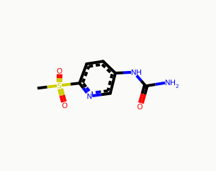 CS(=O)(=O)c1ccc(NC(N)=O)cn1